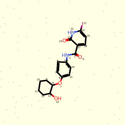 O=C(Nc1ccc(OC2CCCCC2O)cc1)c1ccc(I)[nH]c1=O